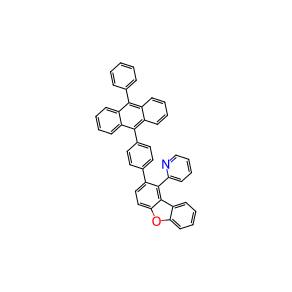 c1ccc(-c2c3ccccc3c(-c3ccc(-c4ccc5oc6ccccc6c5c4-c4ccccn4)cc3)c3ccccc23)cc1